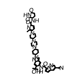 Cc1nc(C(=O)N[C@H]2CCC(=O)NC2=O)ccc1N1CCC(N2CCN(C3CCC(n4cc5cc(NC(=O)c6ccc7cc(C#N)cnn67)c(C(C)(C)O)cc5n4)CC3)CC2)CC1